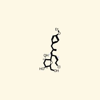 C=C(/C=C(\C=C/CCl)C1OC(CO)[C@@H](O)C[C@@H]1O)Cc1ccc(OCC)cc1